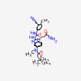 Cc1ccc(NC(=O)Nc2nc3cc(N(C)C(=O)CC(C)(C)C)ccc3n2CCC(N)=O)cc1C#N